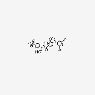 CCS(=O)(=O)c1ccc([C@H](CO)NC(=O)c2ccc3c(n2)OCCN3c2cc(C3CC3)nc(C3CC3)c2)cc1